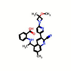 COC1(C)CN(c2ccc(-c3cc4c(C(C)Nc5ccccc5C(=O)O)cc(C)cc4nc3C#N)cn2)C1